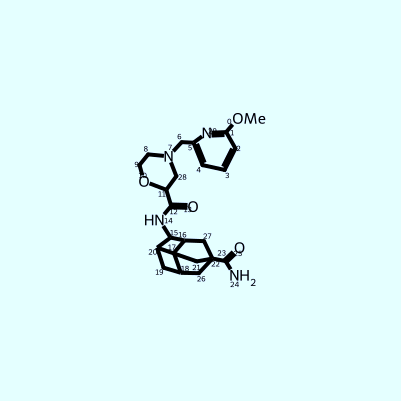 COc1cccc(CN2CCOC(C(=O)NC3C4CC5CC3CC(C(N)=O)(C5)C4)C2)n1